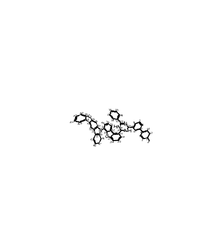 CC1C=CC(c2cccc(C3N=C(c4ccccc4)NC(c4cccc5oc6c(-n7c8c(c9cc%10c(cc97)oc7ccccc7%10)C=CCC8)cccc6c45)N3)c2)=CC1